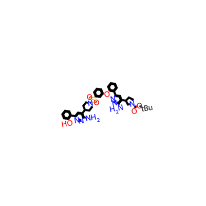 CC(C)(C)OC(=O)N1CCC(c2cc(-c3ccccc3Oc3cccc(S(=O)(=O)N4CCC(c5cc(-c6ccccc6O)nnc5N)CC4)c3)nnc2N)C1